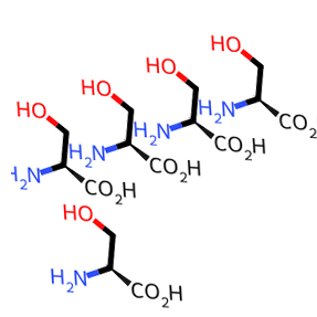 N[C@@H](CO)C(=O)O.N[C@@H](CO)C(=O)O.N[C@@H](CO)C(=O)O.N[C@@H](CO)C(=O)O.N[C@@H](CO)C(=O)O